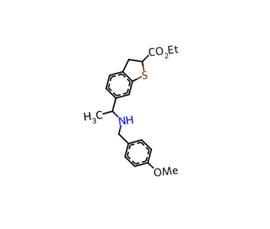 CCOC(=O)C1Cc2ccc(C(C)NCc3ccc(OC)cc3)cc2S1